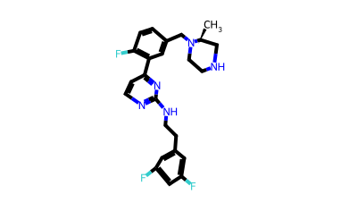 C[C@H]1CNCCN1Cc1ccc(F)c(-c2ccnc(NCCc3cc(F)cc(F)c3)n2)c1